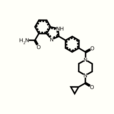 NC(=O)c1cccc2[nH]c(-c3ccc(C(=O)N4CCN(C(=O)C5CC5)CC4)cc3)nc12